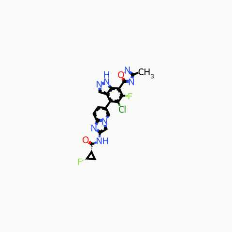 Cc1noc(-c2c(F)c(Cl)c(-c3ccc4nc(NC(=O)[C@@H]5C[C@@H]5F)cn4c3)c3cn[nH]c23)n1